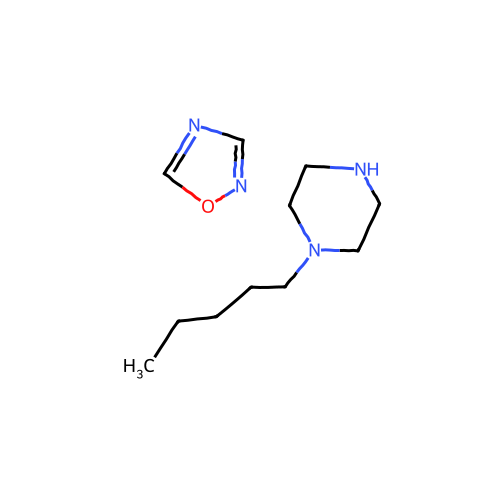 CCCCCN1CCNCC1.c1ncon1